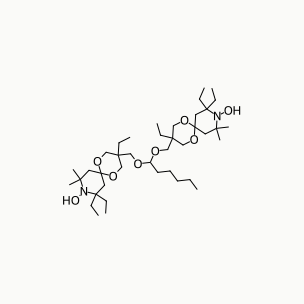 CCCCCC(OCC1(CC)COC2(CC(C)(C)N(O)C(CC)(CC)C2)OC1)OCC1(CC)COC2(CC(C)(C)N(O)C(CC)(CC)C2)OC1